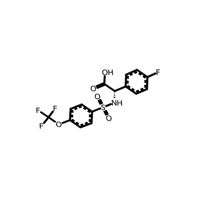 O=C(O)[C@@H](NS(=O)(=O)c1ccc(OC(F)(F)F)cc1)c1ccc(F)cc1